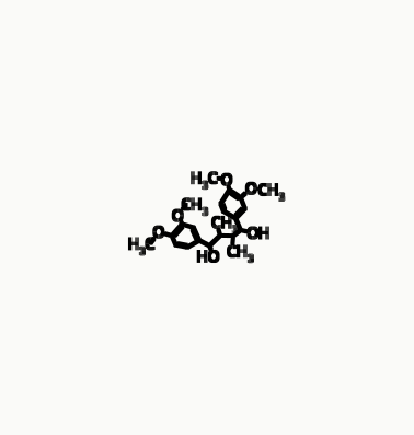 COc1ccc(C(O)C(C)C(C)C(O)c2ccc(OC)c(OC)c2)cc1OC